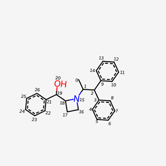 CC(C(c1ccccc1)c1ccccc1)N1CCC1C(O)c1ccccc1